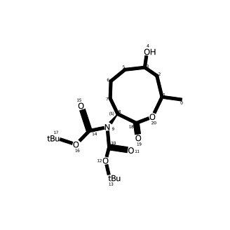 CC1CC(O)CCC[C@H](N(C(=O)OC(C)(C)C)C(=O)OC(C)(C)C)C(=O)O1